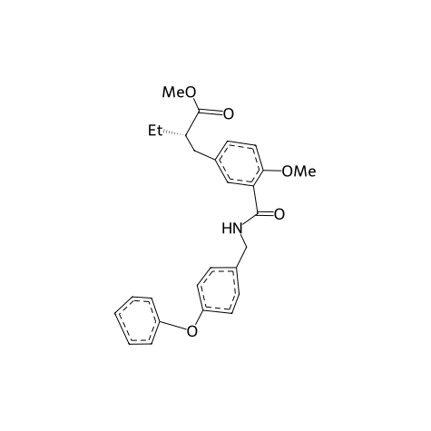 CC[C@@H](Cc1ccc(OC)c(C(=O)NCc2ccc(Oc3ccccc3)cc2)c1)C(=O)OC